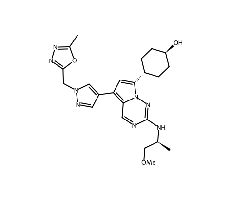 COC[C@H](C)Nc1ncc2c(-c3cnn(Cc4nnc(C)o4)c3)cc([C@H]3CC[C@H](O)CC3)n2n1